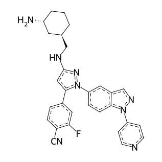 N#Cc1ccc(-c2cc(NC[C@@H]3CCC[C@@H](N)C3)nn2-c2ccc3c(cnn3-c3ccncc3)c2)cc1F